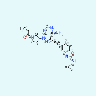 C=CC(=O)N1CCC(n2nc(C#Cc3cc4nc(NC5CC5)oc4cc3F)c3c(N)ncnc32)C1